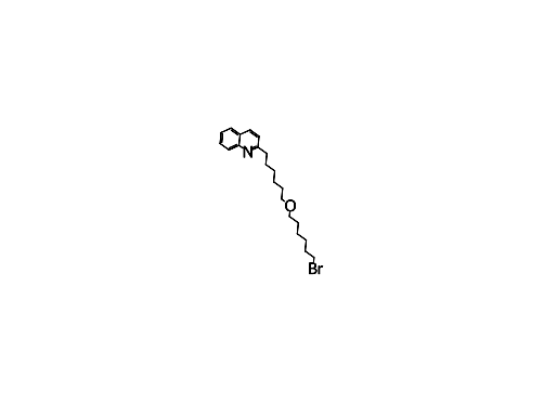 BrCCCCCCOCCCCCCc1ccc2ccccc2n1